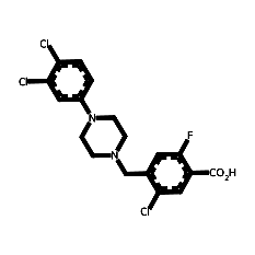 O=C(O)c1cc(Cl)c(CN2CCN(c3ccc(Cl)c(Cl)c3)CC2)cc1F